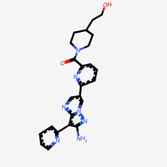 Nc1nn2cc(-c3cccc(C(=O)N4CCC(CCO)CC4)n3)cnc2c1-c1ccccn1